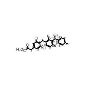 COC(=O)Cc1cc(Cl)c(Cc2ccc(O)c(C(C)c3ccc(F)cc3)c2F)c(Cl)c1